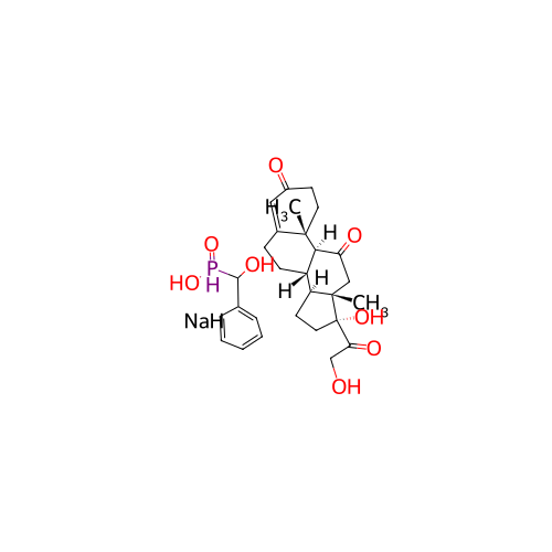 C[C@]12CCC(=O)C=C1CC[C@@H]1[C@@H]2C(=O)C[C@@]2(C)[C@H]1CC[C@]2(O)C(=O)CO.O=[PH](O)C(O)c1ccccc1.[NaH]